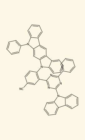 N#Cc1ccc(-n2c3ccccc3c3cc4c5ccccc5n(-c5ccccc5)c4cc32)c(-c2nc(-c3ccccc3)nc(-n3c4ccccc4c4ccccc43)n2)c1